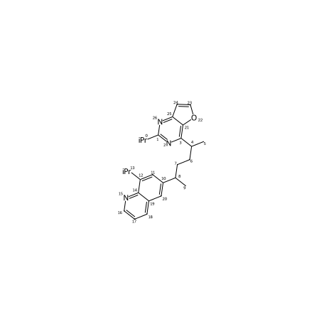 CC(C)c1nc(C(C)CCC(C)c2cc(C(C)C)c3ncccc3c2)c2occc2n1